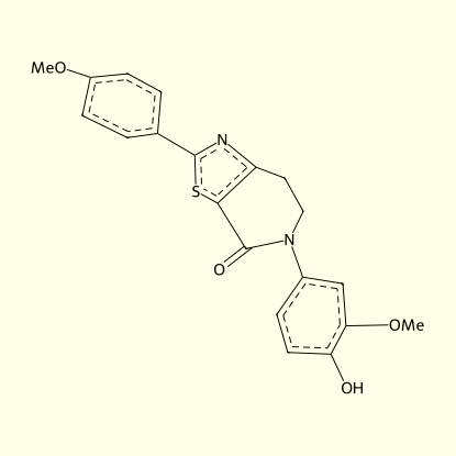 COc1ccc(-c2nc3c(s2)C(=O)N(c2ccc(O)c(OC)c2)CC3)cc1